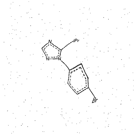 CC(C)c1ncnn1-c1ccc(Br)cc1